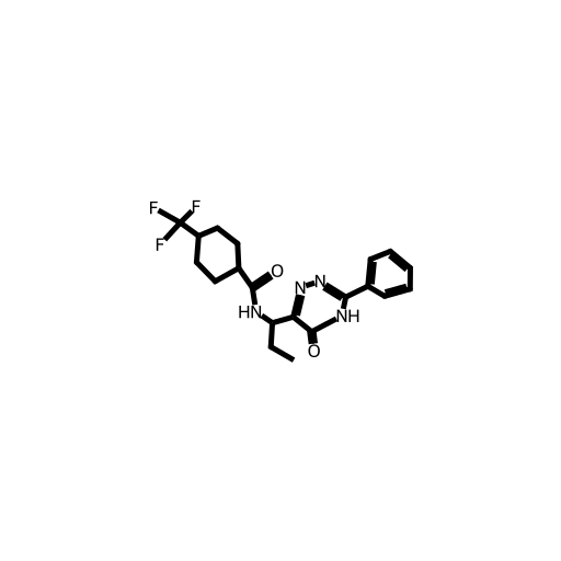 CCC(NC(=O)C1CCC(C(F)(F)F)CC1)c1nnc(-c2ccccc2)[nH]c1=O